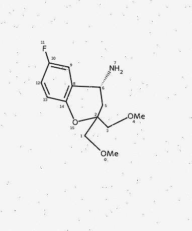 COCC1(COC)C[C@@H](N)c2cc(F)ccc2O1